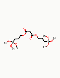 CCO[Si](CCCOC(=O)CC(=O)OCCC[Si](OCC)(OCC)OCC)(OCC)OCC